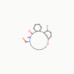 O=C[C@@H]1CCCCCOc2ccc(F)c(c2)-c2ccccc2C(=O)N1